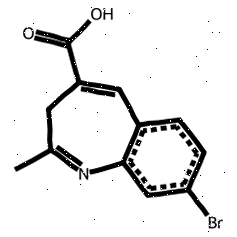 CC1=Nc2cc(Br)ccc2C=C(C(=O)O)C1